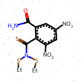 CCSN(SCC)C(=S)c1c(C(N)=O)cc([N+](=O)[O-])cc1[N+](=O)[O-]